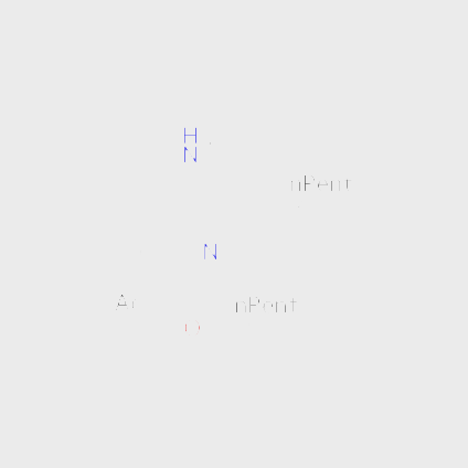 CC(=O)[O-].CCCCCc1[nH]cc[n+]1CCCCC